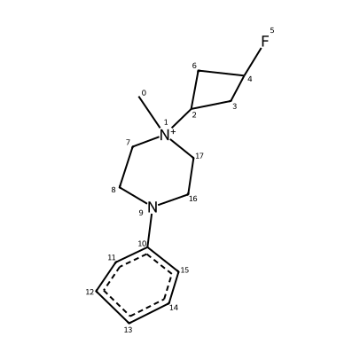 C[N+]1(C2CC(F)C2)CCN(c2ccccc2)CC1